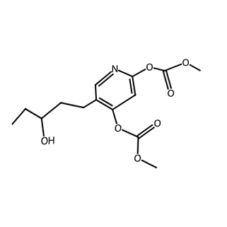 CCC(O)CCc1cnc(OC(=O)OC)cc1OC(=O)OC